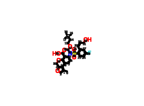 Cc1coc2c1-c1ccc(N(COCC[Si](C)(C)C)S(=O)(=O)c3ccc(F)cc3/C=C\CO)c(C(=O)O)c1OC2